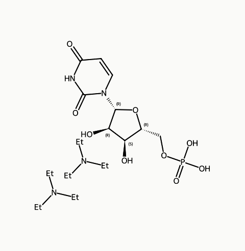 CCN(CC)CC.CCN(CC)CC.O=c1ccn([C@@H]2O[C@H](COP(=O)(O)O)[C@@H](O)[C@H]2O)c(=O)[nH]1